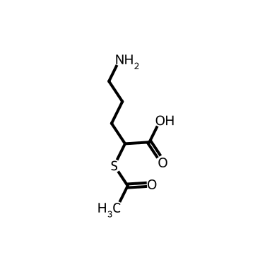 CC(=O)SC(CCCN)C(=O)O